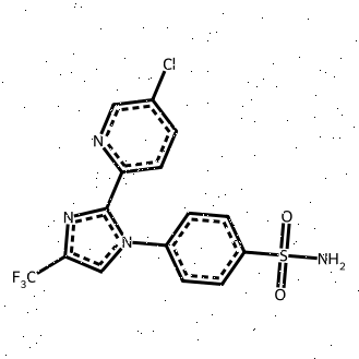 NS(=O)(=O)c1ccc(-n2cc(C(F)(F)F)nc2-c2ccc(Cl)cn2)cc1